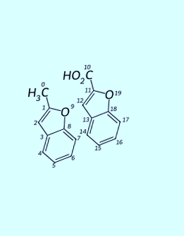 Cc1cc2ccccc2o1.O=C(O)c1cc2ccccc2o1